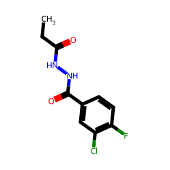 CCC(=O)NNC(=O)c1ccc(F)c(Cl)c1